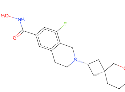 O=C(NO)c1cc(F)c2c(c1)CCN([C@H]1C[C@]3(CCCOC3)C1)C2